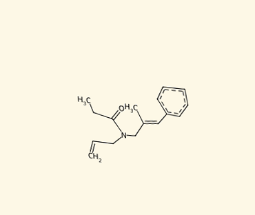 C=CCN(C/C(C)=C/c1ccccc1)C(=O)CC